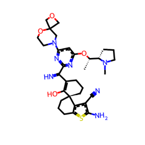 C[C@H](Oc1cc(N2CCOC3(COC3)C2)nc(C(=N)C2=C(O)[C@@]3(CCC2)CCCc2sc(N)c(C#N)c23)n1)[C@@H]1CCCN1C